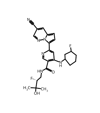 CC(C)(O)[C@H](F)CNC(=O)c1cnc(-c2ccc3cc(C#N)cnn23)cc1NC1CCCC(F)C1